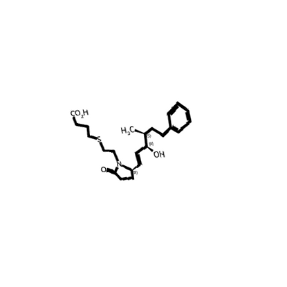 C[C@@H](CCc1ccccc1)[C@@H](O)C=C[C@H]1CCC(=O)N1CCSCCCC(=O)O